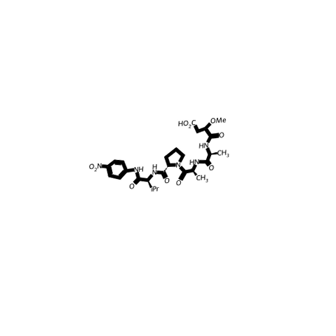 COC(CC(=O)O)C(=O)N[C@@H](C)C(=O)N[C@@H](C)C(=O)N1CCC[C@H]1C(=O)N[C@H](C(=O)Nc1ccc([N+](=O)[O-])cc1)C(C)C